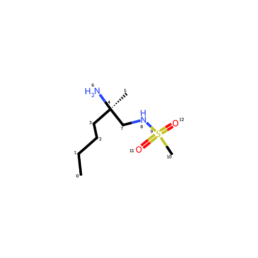 CCCC[C@@](C)(N)CNS(C)(=O)=O